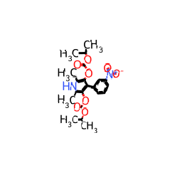 CC1=C(OC(=O)OC(C)C)C(c2cccc([N+](=O)[O-])c2)=C(OC(=O)OC(C)C)C(C)N1